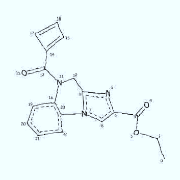 CCOC(=O)c1cn2c(n1)CN(C(=O)C1=CC=C1)c1ccccc1-2